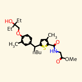 CCCCC(c1ccc(OCC(O)(CC)CC)c(C)c1)c1cc(C)c(C(=O)NCC(=O)OC)s1